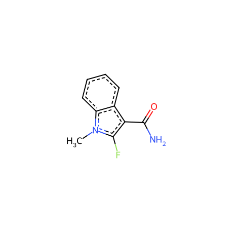 Cn1c(F)c(C(N)=O)c2ccccc21